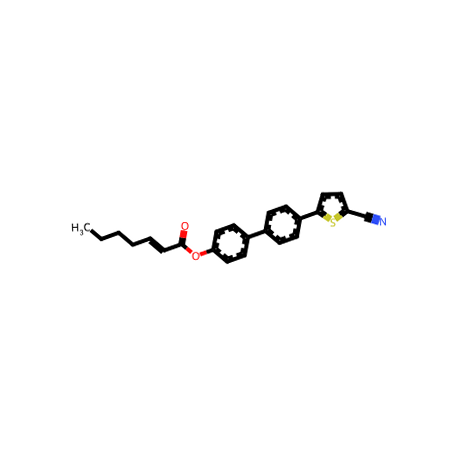 CCCCC=CC(=O)Oc1ccc(-c2ccc(-c3ccc(C#N)s3)cc2)cc1